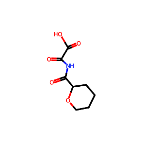 O=C(O)C(=O)NC(=O)C1CCCCO1